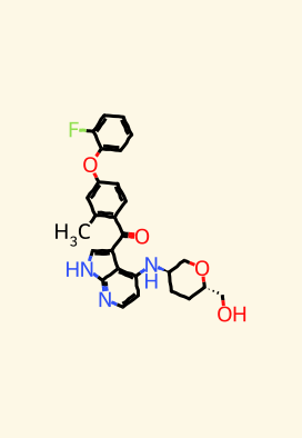 Cc1cc(Oc2ccccc2F)ccc1C(=O)c1c[nH]c2nccc(N[C@@H]3CC[C@@H](CO)OC3)c12